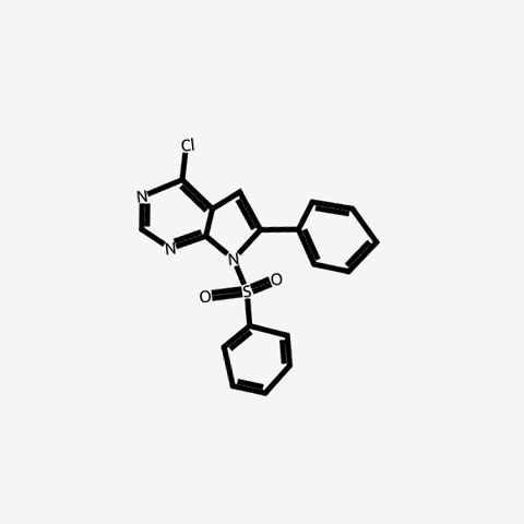 O=S(=O)(c1ccccc1)n1c(-c2ccccc2)cc2c(Cl)ncnc21